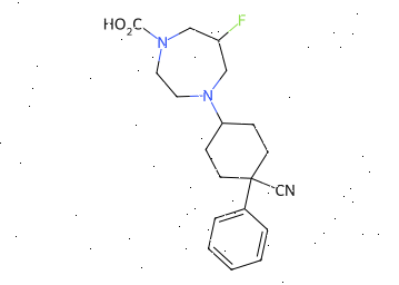 N#CC1(c2ccccc2)CCC(N2CCN(C(=O)O)CC(F)C2)CC1